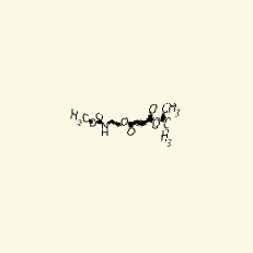 COC(=O)NCCOC(=O)/C=C/C(=O)OC(C)C